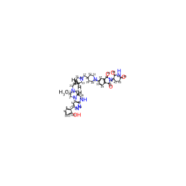 C[C@H]1CN2c3cc(-c4ccccc4O)nnc3NC[C@H]2CN1C[C@H]1[C@@H]2CN(CC3CCN(c4ccc5c(c4)C(=O)N(C4CCC(=O)NC4=O)C5=O)CC3)C[C@@H]21